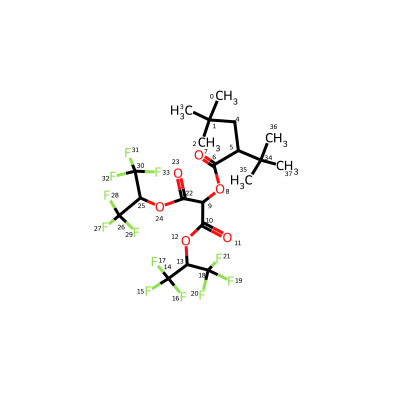 CC(C)(C)CC(C(=O)OC(C(=O)OC(C(F)(F)F)C(F)(F)F)C(=O)OC(C(F)(F)F)C(F)(F)F)C(C)(C)C